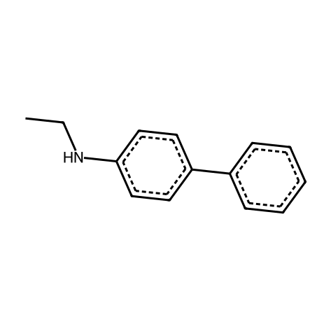 CCNc1ccc(-c2ccccc2)cc1